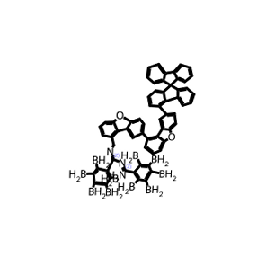 Bc1c(B)c(B)c(/C(N)=N/C(=N\Cc2cccc3oc4ccc(-c5cccc6oc7ccc(-c8cccc9c8-c8ccccc8C98c9ccccc9-c9ccccc98)cc7c56)cc4c23)c2c(B)c(B)c(B)c(B)c2B)c(B)c1B